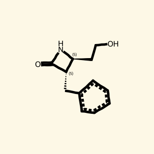 O=C1N[C@@H](CCO)[C@@H]1Cc1ccccc1